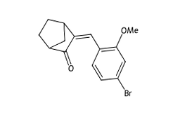 COc1cc(Br)ccc1/C=C1\C(=O)C2CCC1C2